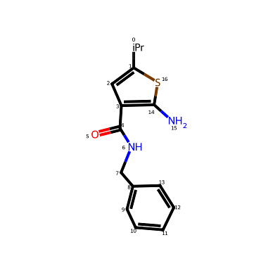 CC(C)c1cc(C(=O)NCc2ccccc2)c(N)s1